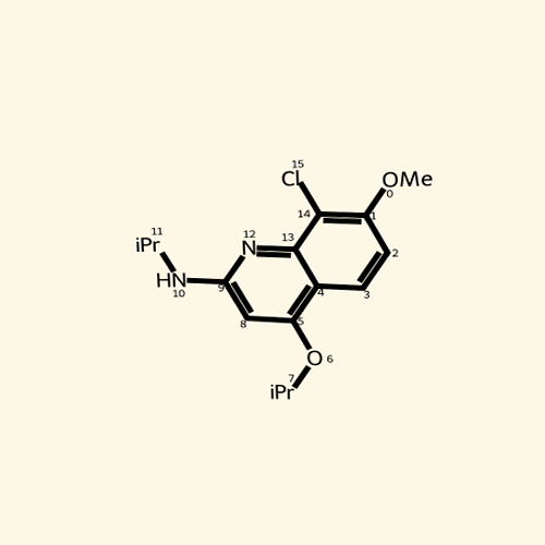 COc1ccc2c(OC(C)C)cc(NC(C)C)nc2c1Cl